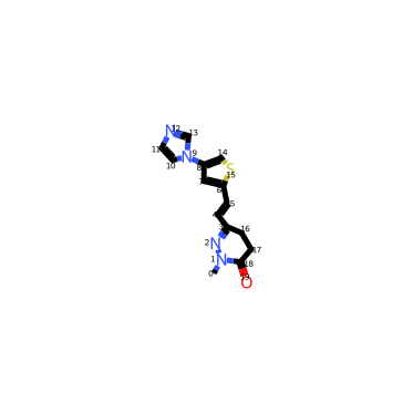 CN1N=C(C=Cc2cc(-n3ccnc3)cs2)CCC1=O